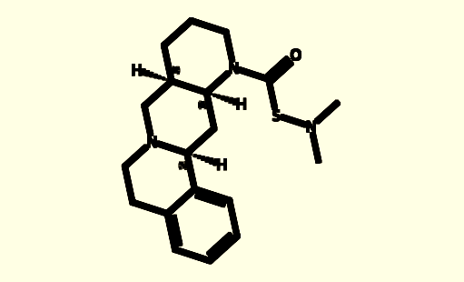 CN(C)SC(=O)N1CCC[C@@H]2CN3CCc4ccccc4[C@@H]3C[C@@H]21